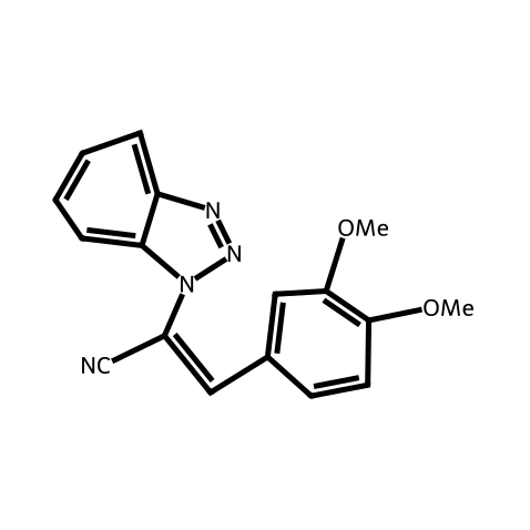 COc1ccc(/C=C(/C#N)n2nnc3ccccc32)cc1OC